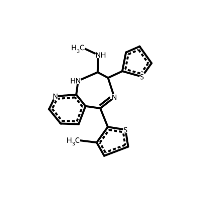 CNC1Nc2ncccc2C(c2sccc2C)=NC1c1cccs1